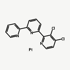 Clc1ccnc(-c2cccc(-c3ccccn3)n2)c1Cl.[Pt]